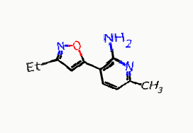 CCc1cc(-c2ccc(C)nc2N)on1